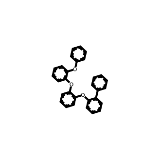 c1ccc(Oc2ccccc2Oc2ccccc2Oc2ccccc2-c2ccccc2)cc1